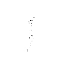 CCC/C=C/CCC[C@H]1CC[C@H]([C@H]2CC[C@H](CCc3cc(F)c(F)c(F)c3)CC2)CC1